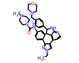 CCn1cc(-c2ccnc3c2CC(c2ccc(CN4CCOCC4)cc2)N3)c(-c2ccc(NC(=O)N3CCN(C)CC3)cc2)n1